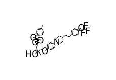 Cc1ccc(S(=O)(=O)OCCC(C)(O)COc2ccc(N3CCC(CCc4ccc(OC(F)(F)F)cc4)CC3)cc2)cc1